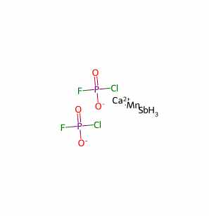 O=P([O-])(F)Cl.O=P([O-])(F)Cl.[Ca+2].[Mn].[SbH3]